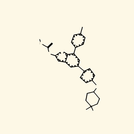 CNC(=O)Oc1cc2cc(-c3ccc(OC4CCC(F)(F)CC4)cc3)cc(-c3ccc(F)cc3)c2o1